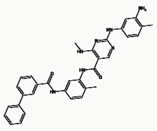 CNc1nc(Nc2ccc(C)c(N)c2)ncc1C(=O)Nc1cc(NC(=O)c2cccc(-c3ccccc3)c2)ccc1C